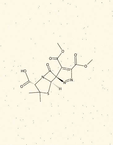 COC(=O)C1=C(C(=O)OC)[C@@]2(N=N1)C(=O)N1[C@@H](C(=O)O)C(C)(C)S[C@@H]12